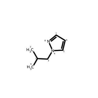 CC(C)Cn1[c]ccn1